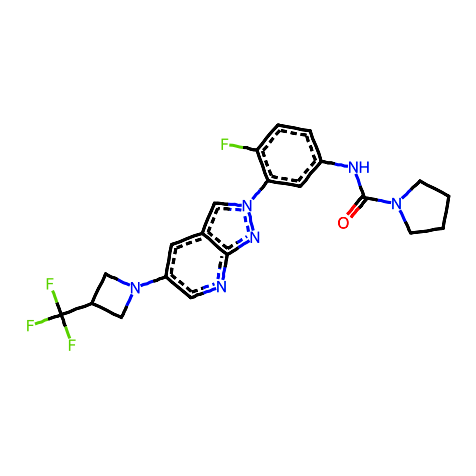 O=C(Nc1ccc(F)c(-n2cc3cc(N4CC(C(F)(F)F)C4)cnc3n2)c1)N1CCCC1